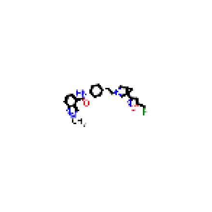 Cn1cc2c(C(=O)N[C@H]3CC[C@H](CCN4CC5CC5(c5cc(CF)on5)C4)CC3)cccc2n1